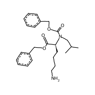 CC(C)CN(C(=O)OCc1ccccc1)[C@@H](CCCCN)C(=O)OCc1ccccc1